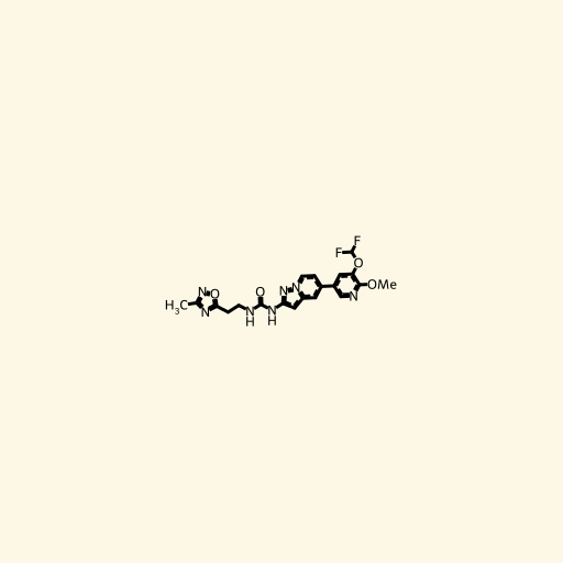 COc1ncc(-c2ccn3nc(NC(=O)NCCc4nc(C)no4)cc3c2)cc1OC(F)F